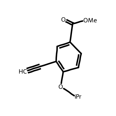 C#Cc1cc(C(=O)OC)ccc1OC(C)C